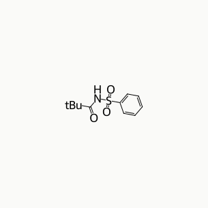 CC(C)(C)C(=O)NS(=O)(=O)c1ccccc1